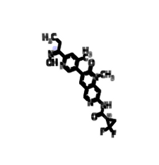 CC/C(=N/O)c1cc(C)c(-c2cc3cnc(NC(=O)[C@H]4CC4(F)F)cc3n(C)c2=O)cn1